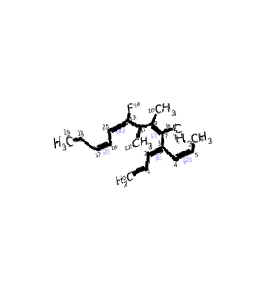 C=C/C=C(\C=C/C)C(/C)=C(/C)C(C)/C(F)=C\C=C/CC